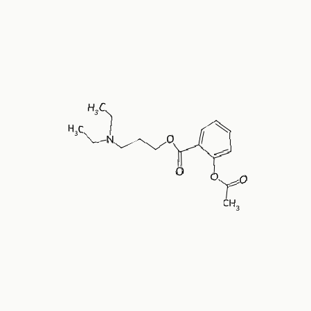 CCN(CC)CCCOC(=O)c1ccccc1OC(C)=O